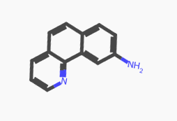 Nc1ccc2ccc3cccnc3c2c1